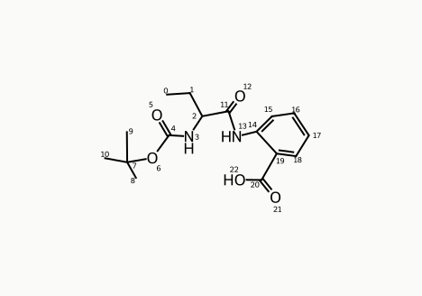 CCC(NC(=O)OC(C)(C)C)C(=O)Nc1ccccc1C(=O)O